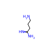 N=C(N)CCCN